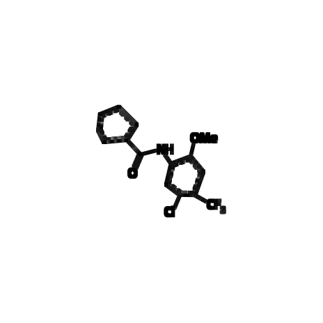 COc1cc(C(F)(F)F)c(Cl)cc1NC(=O)c1ccccc1